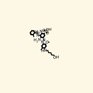 COc1cc(NCCCCCO)c(C)cc1/N=N/c1cc(S(=O)(=O)O)c(N)c(/N=N/c2ccccc2C)c1N